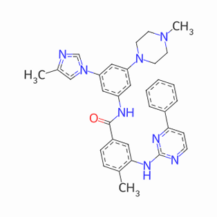 Cc1cn(-c2cc(NC(=O)c3ccc(C)c(Nc4nccc(-c5ccccc5)n4)c3)cc(N3CCN(C)CC3)c2)cn1